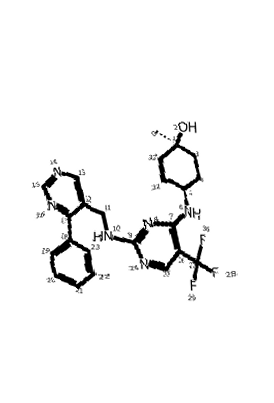 C[C@]1(O)CC[C@@H](Nc2nc(NCc3cncnc3-c3ccccc3)ncc2C(F)(F)F)CC1